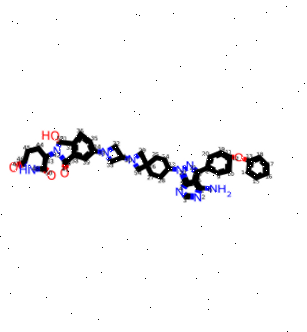 Nc1ncnc2c1c(-c1ccc(Oc3ccccc3)cc1)nn2C1CCC2(CC1)CN(C1CN(c3ccc4c(c3)C(=O)N(C3CCC(=O)NC3=O)C4O)C1)C2